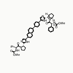 COC(=O)N[C@H](C(=O)N1CCC[C@H]1c1ncc(-c2ccc3cc(-c4ccc(-c5cnc([C@@H]6[C@H]7CC[C@H](C7)N6C(=O)[C@H](NC(=O)OC)c6ccccc6)[nH]5)cc4)ccc3c2)[nH]1)C(C)C